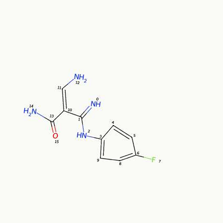 N=C(Nc1ccc(F)cc1)/C(=C\N)C(N)=O